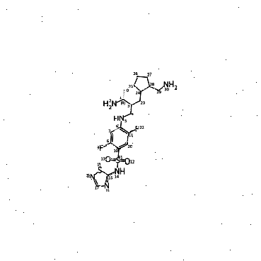 C[C@@H](N)C(CNc1cc(F)c(S(=O)(=O)Nc2ncns2)cc1F)CC1CCCC1CN